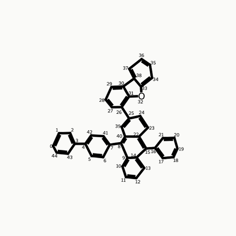 c1ccc(-c2ccc(-c3c4ccccc4c(-c4ccccc4)c4ccc(-c5cccc6c5oc5ccccc56)cc34)cc2)cc1